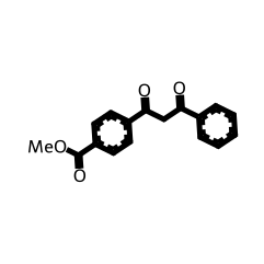 COC(=O)c1ccc(C(=O)CC(=O)c2ccccc2)cc1